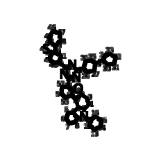 C1=CC2C(c3ccccc3N2c2ccccc2)c2c1oc1c(-c3nc(-c4ccc(-c5ccccc5)cc4)nc(-c4ccc5sc6ccccc6c5c4)n3)cccc21